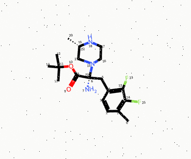 Cc1ccc(C[C@@](N)(C(=O)OC(C)(C)C)N2CCN[C@@H](C)C2)c(F)c1F